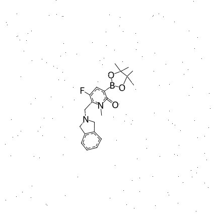 Cn1c(CN2Cc3ccccc3C2)c(F)cc(B2OC(C)(C)C(C)(C)O2)c1=O